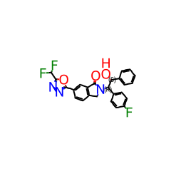 O=C1c2cc(-c3nnc(C(F)F)o3)ccc2CN1[C@H](c1ccc(F)cc1)[C@@H](O)c1ccccc1